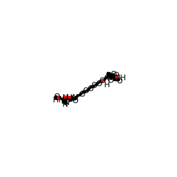 O=C1CCC(N2C(=O)c3cccc(NCCOCCOCCOCCOCCOCCOCCCCNC(=O)c4ccc(-c5ncc(NCc6ccco6)n6cnnc56)cc4)c3C2=O)C(=O)N1